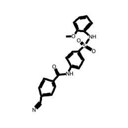 COc1ccccc1NS(=O)(=O)c1ccc(NC(=O)c2ccc(C#N)cc2)cc1